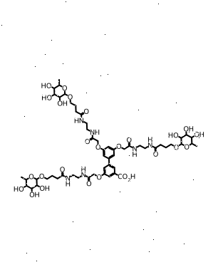 CC1OC(OCCCC(=O)NCCNC(=O)COc2cc(OCC(=O)NCCNC(=O)CCCOC3OC(C)C(O)C(O)C3O)cc(-c3cc(OCC(=O)NCCNC(=O)CCCOC4OC(C)C(O)C(O)C4O)cc(C(=O)O)c3)c2)C(O)C(O)C1O